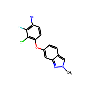 Cn1cc2ccc(Oc3ccc(N)c(F)c3Cl)cc2n1